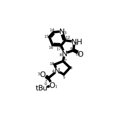 CC(C)(C)OC(=O)N1CCC(n2c(=O)[nH]c3ncccc32)C1